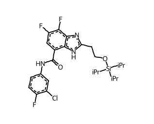 CC(C)[Si](OCCc1nc2c(F)c(F)cc(C(=O)Nc3ccc(F)c(Cl)c3)c2[nH]1)(C(C)C)C(C)C